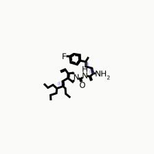 C=CC1=C(/C=C(\CCC)C(CCC)CCC)CN(C(=O)NC(=C)/C(N)=C\C=C(/C)c2ccc(F)cc2)C1